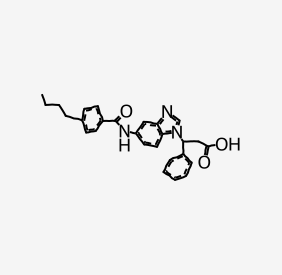 CCCCc1ccc(C(=O)Nc2ccc3c(c2)ncn3C(CC(=O)O)c2ccccc2)cc1